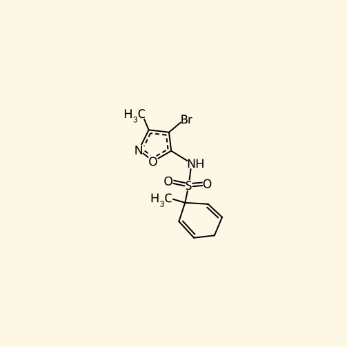 Cc1noc(NS(=O)(=O)C2(C)C=CCC=C2)c1Br